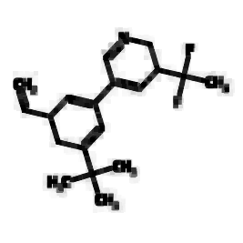 C=CC1C=C(C2=CC(C(C)(F)F)CN=C2)C=C(C(C)(C)C)C1